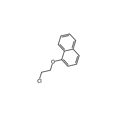 ClCCOc1cccc2ccccc12